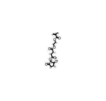 C=C(C)C(=O)OCCOC(=O)CCC(=O)ON1C(=O)CCC1=O